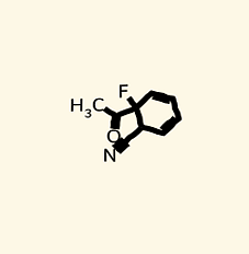 CC(=O)C1(F)C=CC=CC1C#N